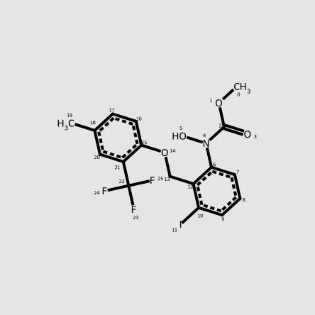 COC(=O)N(O)c1cccc(I)c1COc1ccc(C)cc1C(F)(F)F